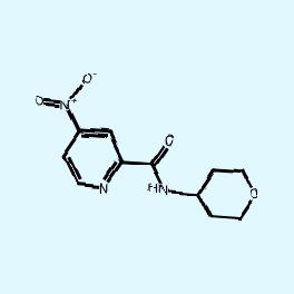 O=C(NC1CCOCC1)c1cc([N+](=O)[O-])ccn1